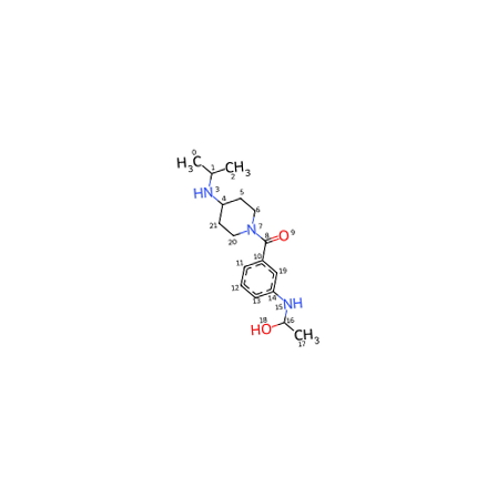 CC(C)NC1CCN(C(=O)c2cccc(NC(C)O)c2)CC1